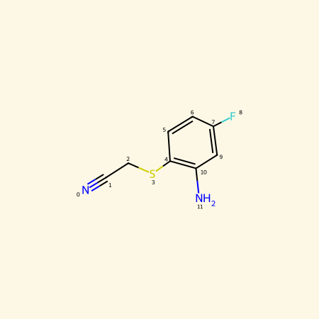 N#CCSc1ccc(F)cc1N